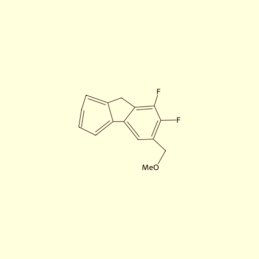 COCc1cc2c(c(F)c1F)Cc1ccccc1-2